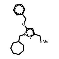 CNCc1cc(OCc2ccccc2)n(CC2CCCCCC2)n1